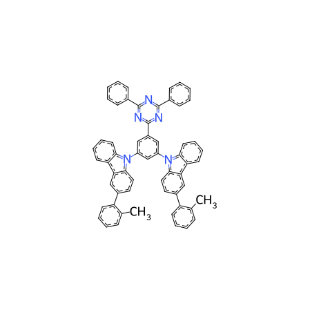 Cc1ccccc1-c1ccc2c(c1)c1ccccc1n2-c1cc(-c2nc(-c3ccccc3)nc(-c3ccccc3)n2)cc(-n2c3ccccc3c3cc(-c4ccccc4C)ccc32)c1